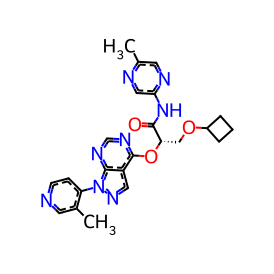 Cc1cnc(NC(=O)[C@H](COC2CCC2)Oc2ncnc3c2cnn3-c2ccncc2C)cn1